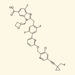 O=C(O)c1cc(F)c2nc(Cc3cc(F)c(-c4cccc(OCc5ncc(C#CC6(CF)CC6)cc5Cl)n4)cc3F)n(C[C@@H]3CCO3)c2c1